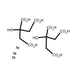 O=C(O)CC(O)(CC(=O)O)C(=O)O.O=C(O)CC(O)(CC(=O)O)C(=O)O.[Ni].[Ni].[Ni]